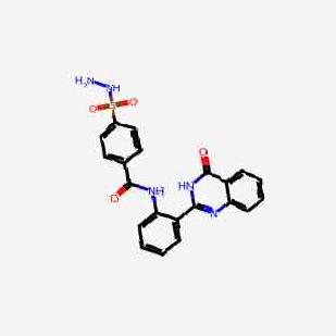 NNS(=O)(=O)c1ccc(C(=O)Nc2ccccc2-c2nc3ccccc3c(=O)[nH]2)cc1